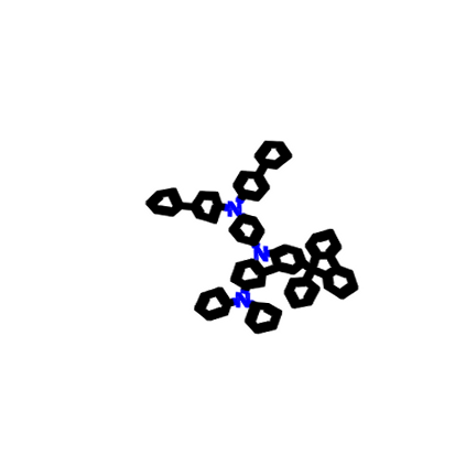 c1ccc(-c2ccc(N(c3ccc(-c4ccccc4)cc3)c3ccc(-n4c5ccc(N(c6ccccc6)c6ccccc6)cc5c5cc(C6(c7ccccc7)c7ccccc7-c7ccccc76)ccc54)cc3)cc2)cc1